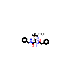 CC1(C)S[C@H]([C@H](NC(=O)Cc2ccccc2)C(=O)NCc2ccccc2)N[C@H]1C(=O)O